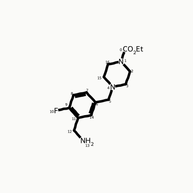 CCOC(=O)N1CCN(Cc2ccc(F)c(CN)c2)CC1